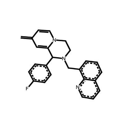 C=C1C=CN2CCN(Cc3cccc4cccnc34)C(c3ccc(F)cc3)C2=C1